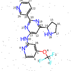 FC(F)(F)Oc1ccnc(Nc2cc([C@H]3CCCN3)nc(-c3cccnc3)n2)c1